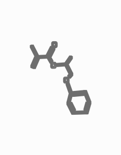 C=C(C)C(=O)OC(C)COc1ccccc1